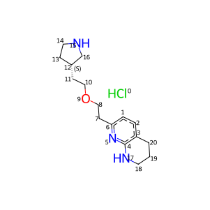 Cl.c1cc2c(nc1CCOCC[C@@H]1CCNC1)NCCC2